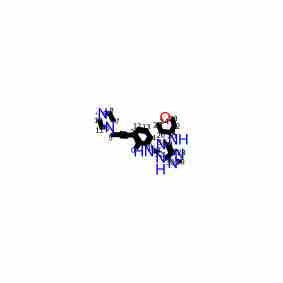 Cc1c(C#CCN2CC[N]CC2)cccc1Nc1nc(NC2CCOCC2)c2ncnc-2[nH]1